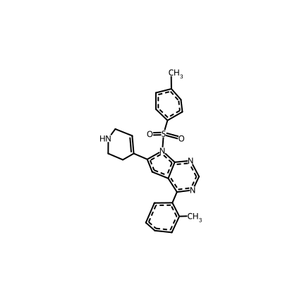 Cc1ccc(S(=O)(=O)n2c(C3=CCNCC3)cc3c(-c4ccccc4C)ncnc32)cc1